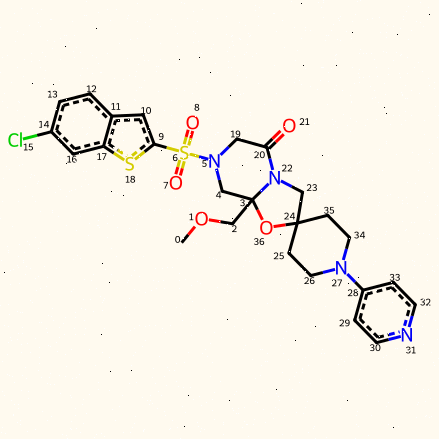 COCC12CN(S(=O)(=O)c3cc4ccc(Cl)cc4s3)CC(=O)N1CC1(CCN(c3ccncc3)CC1)O2